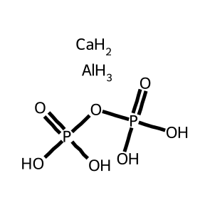 O=P(O)(O)OP(=O)(O)O.[AlH3].[CaH2]